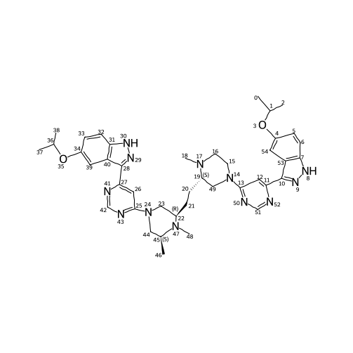 CC(C)Oc1ccc2[nH]nc(-c3cc(N4CCN(C)[C@@H](CC[C@@H]5CN(c6cc(-c7n[nH]c8ccc(OC(C)C)cc78)ncn6)C[C@H](C)N5C)C4)ncn3)c2c1